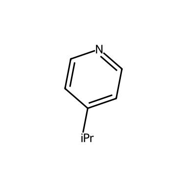 [CH2]C(C)c1ccncc1